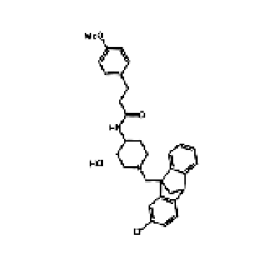 COc1ccc(CCC(=O)NC2CCN(CC34CC(c5ccccc53)c3ccc(Cl)cc34)CC2)cc1.Cl